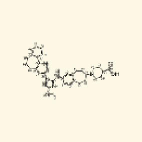 Nc1nc(Nc2ccc3c(c2)CCC(N2CCC(C(=O)O)CC2)CC3)n(-c2cc3c(nn2)-c2ccccc2CCC3)n1